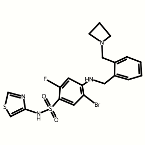 O=S(=O)(Nc1cscn1)c1cc(Br)c(NCc2ccccc2CN2CCC2)cc1F